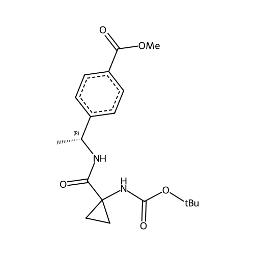 COC(=O)c1ccc([C@@H](C)NC(=O)C2(NC(=O)OC(C)(C)C)CC2)cc1